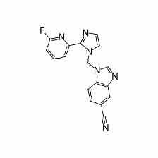 N#Cc1ccc2c(c1)ncn2Cn1ccnc1-c1cccc(F)n1